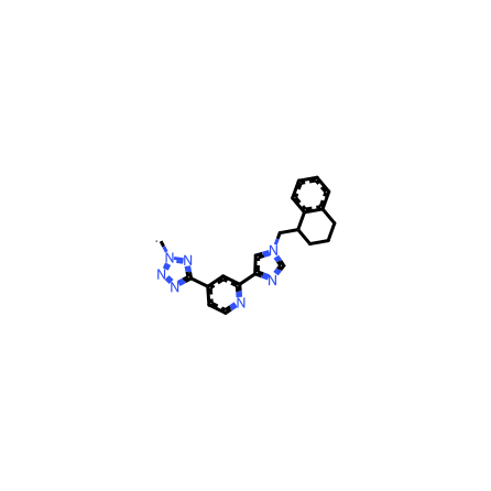 [CH2]n1nnc(-c2ccnc(-c3cn(CC4CCCc5ccccc54)cn3)c2)n1